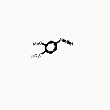 COc1cc(N=[N+]=[N-])ccc1C(=O)O